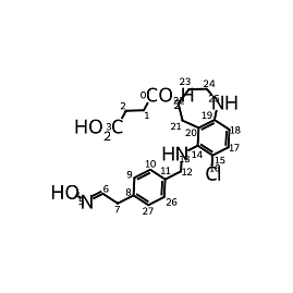 O=C(O)CCC(=O)O.ON=CCc1ccc(CNc2c(Cl)ccc3c2CCCCN3)cc1